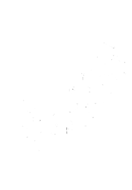 Nc1ncc(-c2cncc3ccccc23)c2scc(-c3ccc(NC(=O)Nc4cc(C(F)(F)F)ccc4F)cc3)c12